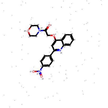 O=C(COc1cc(-c2ccc([N+](=O)[O-])cc2)nc2ccccc12)N1CCOCC1